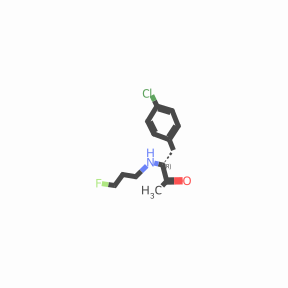 CC(=O)[C@@H](Cc1ccc(Cl)cc1)NCCCF